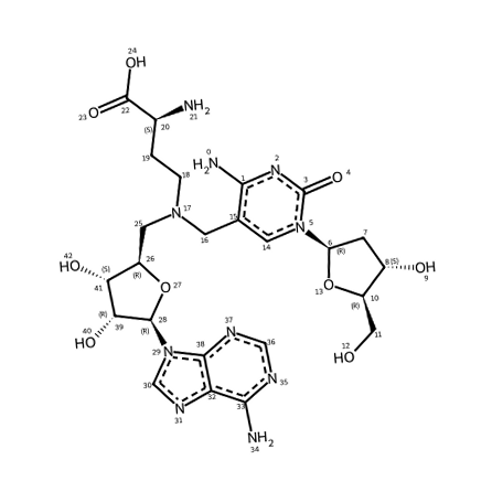 Nc1nc(=O)n([C@H]2C[C@H](O)[C@@H](CO)O2)cc1CN(CC[C@H](N)C(=O)O)C[C@H]1O[C@@H](n2cnc3c(N)ncnc32)[C@H](O)[C@@H]1O